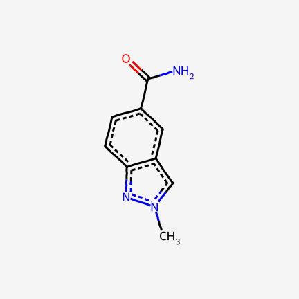 Cn1cc2cc(C(N)=O)ccc2n1